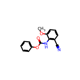 COc1cccc(C#N)c1NC(=O)Oc1ccccc1